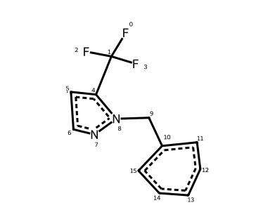 FC(F)(F)c1[c]cnn1Cc1ccccc1